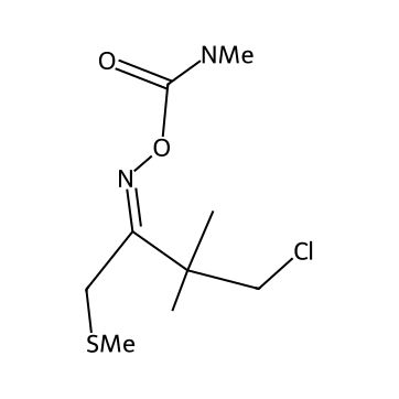 CNC(=O)ON=C(CSC)C(C)(C)CCl